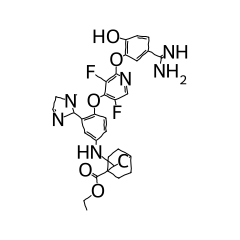 CCOC(=O)C12CCC(CC1)CC2Nc1ccc(Oc2c(F)cnc(Oc3cc(C(=N)N)ccc3O)c2F)c(C2N=CCN2C)c1